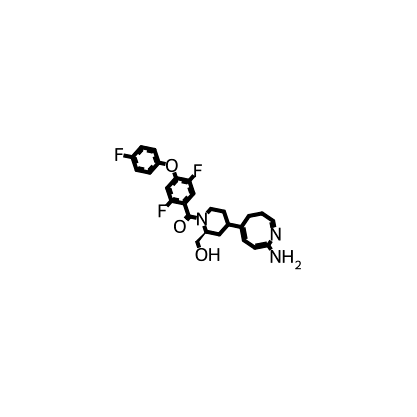 NC1=C/C=C(/C2CCN(C(=O)c3cc(F)c(Oc4ccc(F)cc4)cc3F)[C@H](CO)C2)CC/C=N\1